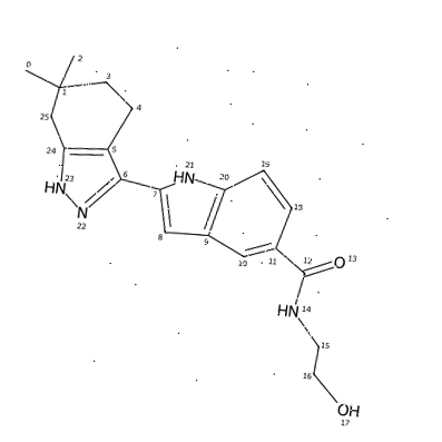 CC1(C)CCc2c(-c3cc4cc(C(=O)NCCO)ccc4[nH]3)n[nH]c2C1